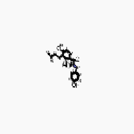 COc1ccc(C(=O)/C(O)=C/c2ccc(O)cc2)c(O)c1CC=C(C)C